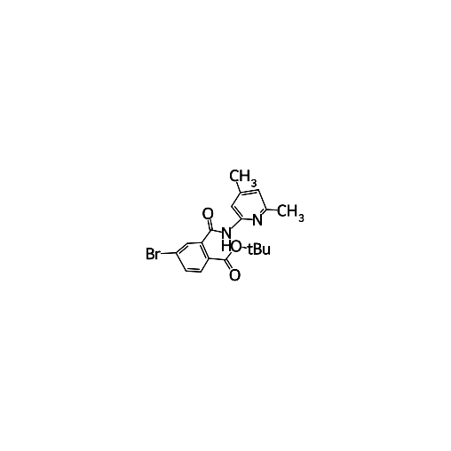 Cc1cc(C)nc(NC(=O)c2cc(Br)ccc2C(=O)OC(C)(C)C)c1